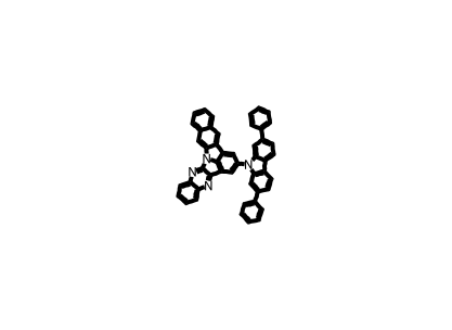 c1ccc(-c2ccc3c4ccc(-c5ccccc5)cc4n(-c4cc5c6cc7ccccc7cc6n6c7nc8ccccc8nc7c(c4)c56)c3c2)cc1